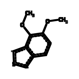 COc1ccc2[c]s[c]c2c1OC